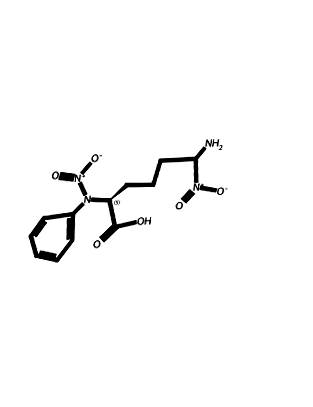 NC(CCC[C@@H](C(=O)O)N(c1ccccc1)[N+](=O)[O-])[N+](=O)[O-]